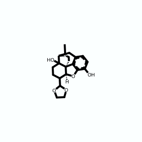 CN1CC[C@]23c4c5ccc(O)c4O[C@H]2C(C2OCCO2)CCC3(O)C1C5